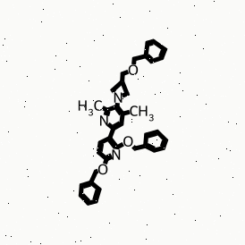 Cc1cc(-c2ccc(OCc3ccccc3)nc2OCc2ccccc2)nc(C)c1N1CC(COCc2ccccc2)C1